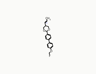 C/C=C/C1COC(c2ccc(-c3ccc(OCF)cc3)cc2)OC1